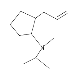 C=CCC1CCCC1N(C)C(C)C